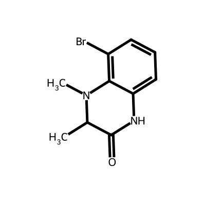 CC1C(=O)Nc2cccc(Br)c2N1C